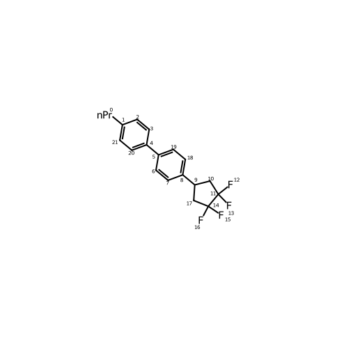 CCCc1ccc(-c2ccc(C3CC(F)(F)C(F)(F)C3)cc2)cc1